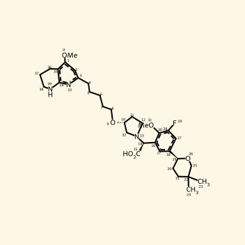 COc1cc(CCCCCO[C@@H]2CCN([C@H](C(=O)O)c3cc([C@@H]4CCC(C)(C)CO4)cc(F)c3OC)C2)nc2c1CCCN2